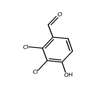 O=Cc1ccc(O)c(Cl)c1Cl